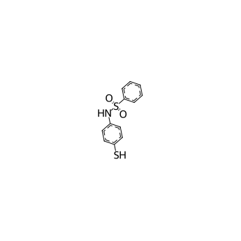 O=S(=O)(Nc1ccc(S)cc1)c1ccccc1